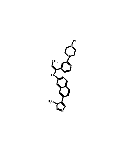 C/C=C(/Nc1cc2cc(-c3cncn3C)ccc2cn1)c1ccnc(N2CCN(C(C)C)CC2)c1